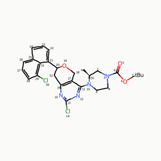 C[C@H]1CN(C(=O)OC(C)(C)C)CCN1c1nc(Cl)nc2c1COC(c1cccc3cccc(Cl)c13)C2